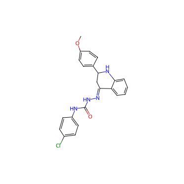 COc1ccc(C2CC(=NNC(=O)Nc3ccc(Cl)cc3)c3ccccc3N2)cc1